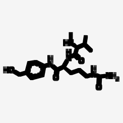 CN[C@H](C(=O)N[C@@H](CCCNC(N)=O)C(=O)Nc1ccc(CO)cc1)C(C)C